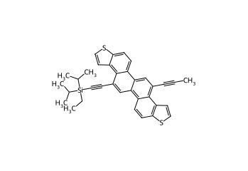 CC#Cc1cc2c(cc(C#C[Si](CC)(C(C)C)C(C)C)c3c4ccsc4ccc23)c2ccc3sccc3c12